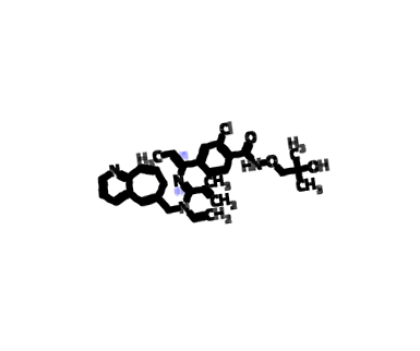 C=CN(CC1=Cc2cccnc2C=CC1)/C(=N/C(=C\C)c1ccc(C(=O)NOCC(C)(C)O)c(Cl)c1)C(=C)C